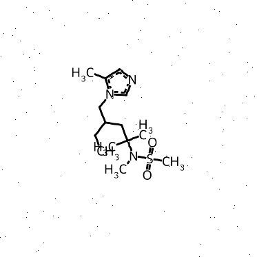 CCC(Cn1cncc1C)CC(C)(C)N(C)S(C)(=O)=O